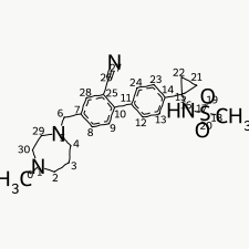 CN1CCCN(Cc2ccc(-c3ccc(C4(NS(C)(=O)=O)CC4)cc3)c(C#N)c2)CC1